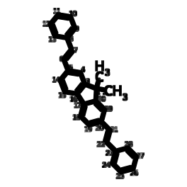 CC1(C)c2cc(C=Cc3ccccc3)ccc2-c2ccc(C=Cc3ccccc3)cc21